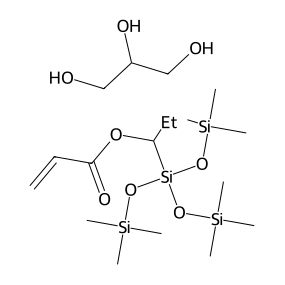 C=CC(=O)OC(CC)[Si](O[Si](C)(C)C)(O[Si](C)(C)C)O[Si](C)(C)C.OCC(O)CO